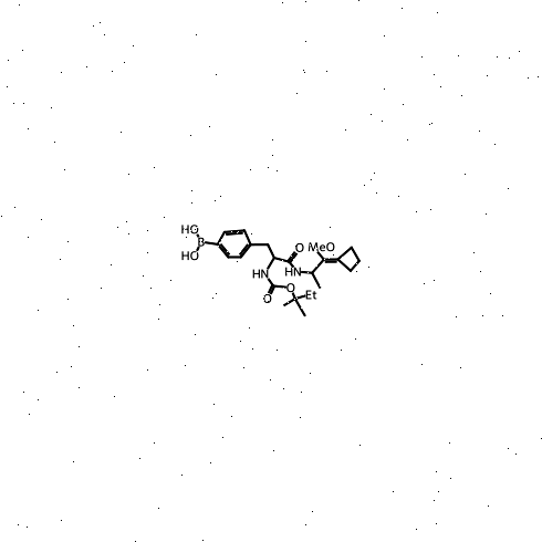 CCC(C)(C)OC(=O)NC(Cc1ccc(B(O)O)cc1)C(=O)NC(C)C(OC)=C1CCC1